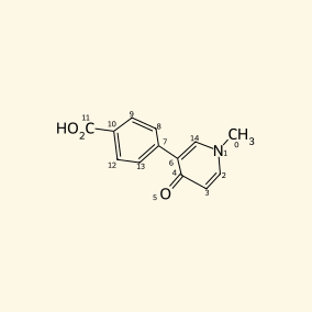 Cn1ccc(=O)c(-c2ccc(C(=O)O)cc2)c1